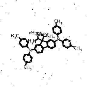 CCCCCCCC(N)C1(C(N)CCCCCCC)c2cc(N(c3ccc(C)cc3)c3ccc(C)cc3)ccc2-c2ccc(N(c3ccc(C)cc3)c3ccc(C)cc3)cc21